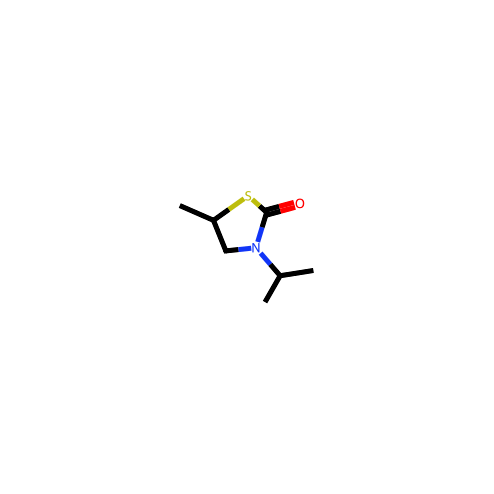 CC1CN(C(C)C)C(=O)S1